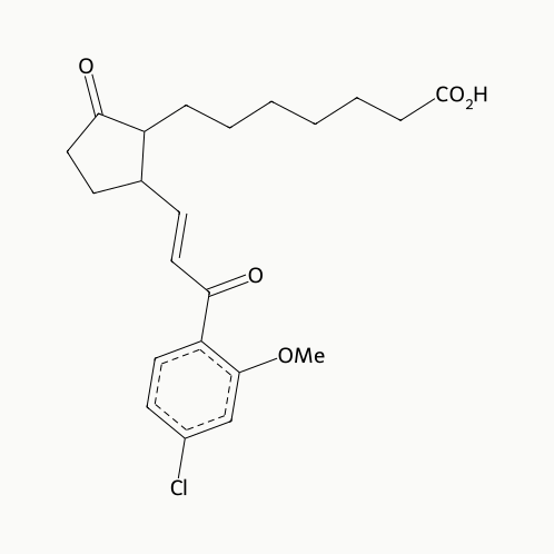 COc1cc(Cl)ccc1C(=O)/C=C/C1CCC(=O)C1CCCCCCC(=O)O